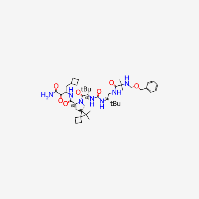 CC(C)(NCOCc1ccccc1)C(=O)NC[C@@H](NC(=O)N[C@H](C(=O)N1C[C@]2(C[C@H]1C(=O)NC(CC1CCC1)C(=O)C(N)=O)C(C)(C)C21CCC1)C(C)(C)C)C(C)(C)C